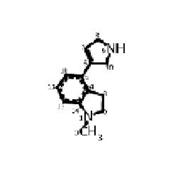 CN1CCc2c(C3=CCNC3)cccc21